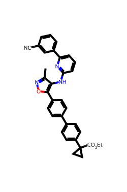 CCOC(=O)C1(c2ccc(-c3ccc(-c4onc(C)c4Nc4cccc(-c5cccc(C#N)c5)n4)cc3)cc2)CC1